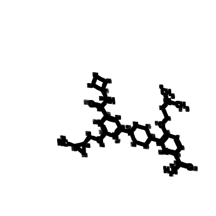 CN(C)CCOc1ccc(C(N)=O)nc1C1CCN(c2cc(C(=O)NC3CCC3)nc(OC[C@H]3C[C@H]3C#N)n2)CC1